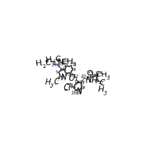 C=C/C=C(/c1cc(C)nc2c(OCc3c(Cl)cncc3CNC(=O)[C@@H](C)CC)cccc12)N(C)C